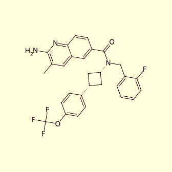 Cc1cc2cc(C(=O)N(Cc3ccccc3F)[C@H]3C[C@@H](c4ccc(OC(F)(F)F)cc4)C3)ccc2nc1N